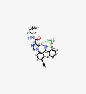 C#Cc1ccc2c(c1)C(c1ccccc1F)=NCc1c(C(=O)NCCOC)ncn1-2.Cl.Cl